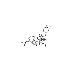 Cc1cccn2c(C(C)(C)NC(=O)CC3CCNCC3)ncc12